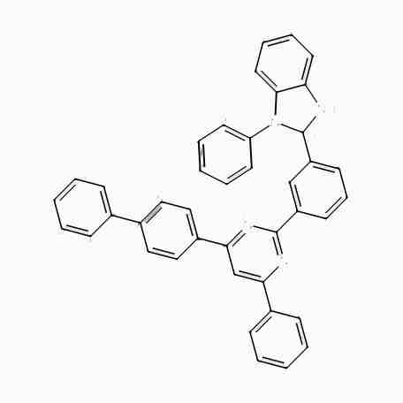 c1ccc(-c2ccc(-c3cc(-c4ccccc4)nc(-c4cccc(C5Nc6ccccc6N5c5ccccc5)c4)n3)cc2)cc1